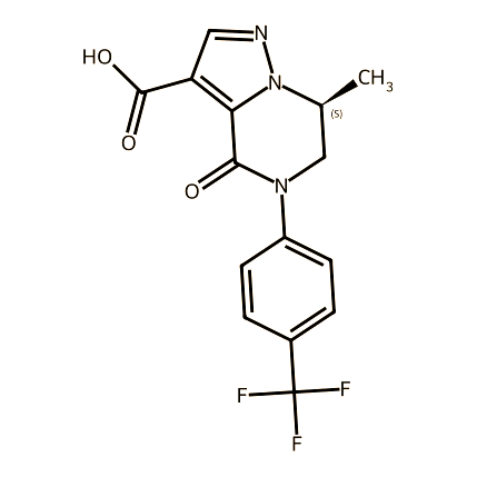 C[C@H]1CN(c2ccc(C(F)(F)F)cc2)C(=O)c2c(C(=O)O)cnn21